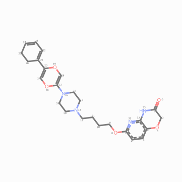 O=C1COc2ccc(OCCCCN3CCN(C4=COC(C5=CC=CCC5)=CO4)CC3)nc2N1